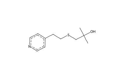 CC(C)(O)CSCCc1ccncc1